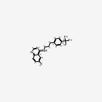 Fc1ccc2ncnc(NCCCc3ccc(C(F)(F)F)cc3)c2c1